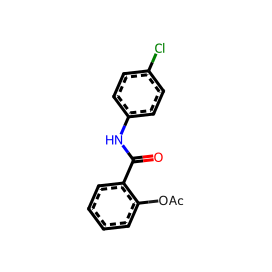 CC(=O)Oc1ccccc1C(=O)Nc1ccc(Cl)cc1